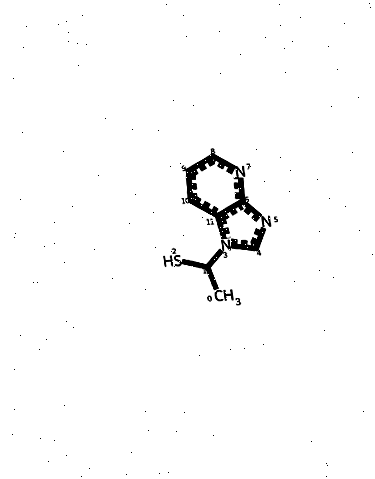 CC(S)n1cnc2ncccc21